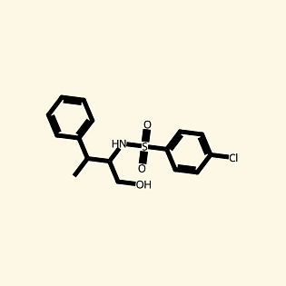 CC(c1ccccc1)C(CO)NS(=O)(=O)c1ccc(Cl)cc1